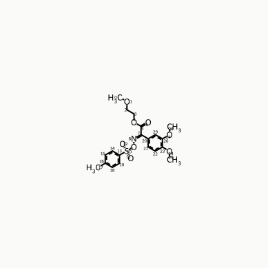 COCCOC(=O)/C(=N/OS(=O)(=O)c1ccc(C)cc1)c1ccc(OC)c(OC)c1